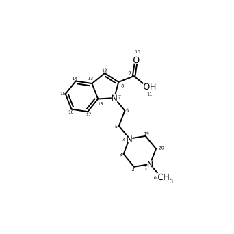 CN1CCN(CCn2c(C(=O)O)cc3ccccc32)CC1